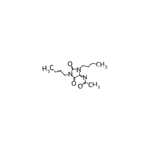 CCCCN1C(=O)C(=NC(C)=O)N(CCCC)C1=O